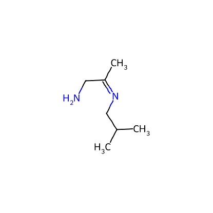 CC(CN)=NCC(C)C